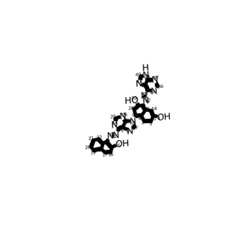 Oc1ccc2c(-n3cnc4c(/N=N/c5c(O)ccc6ccccc56)ncnc43)cc(O)c(/N=N/c3ncnc4[nH]cnc34)c2c1